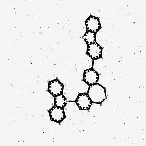 c1ccc2c(c1)oc1cc(-c3ccc4c(c3)COCc3ccc(-n5c6ccccc6c6ccccc65)cc3-4)ccc12